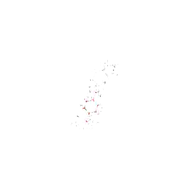 CC(=O)c1ccc(C2CC3Cc4[nH]ncc4C(C2)N3S(=O)(=O)c2ccc(C(F)(F)F)cc2)cc1